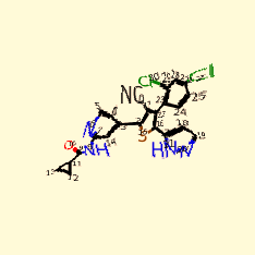 N#Cc1c(-c2ccnc(NC(=O)C3CC3)c2)sc(-c2ccn[nH]2)c1-c1ccc(Cl)cc1Cl